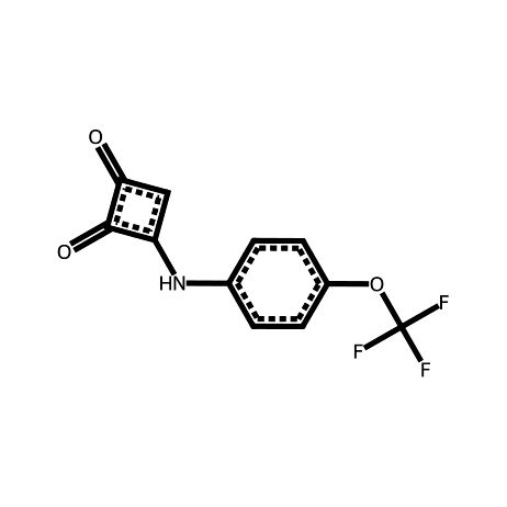 O=c1cc(Nc2ccc(OC(F)(F)F)cc2)c1=O